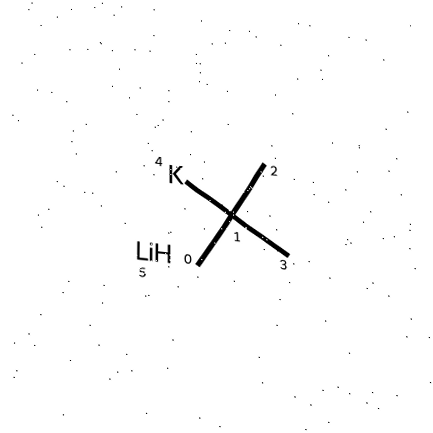 C[C](C)(C)[K].[LiH]